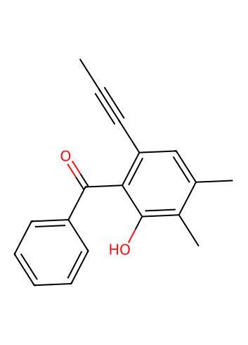 CC#Cc1cc(C)c(C)c(O)c1C(=O)c1ccccc1